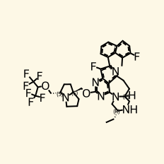 CC[C@@H]1CN2c3nc(OC[C@@]45CCCN4[C@H](COC(C(F)(F)F)C(F)(F)F)CC5)nc4c(F)c(-c5cccc6ccc(F)c(C)c56)nc(c34)CC[C@@H]2CN1